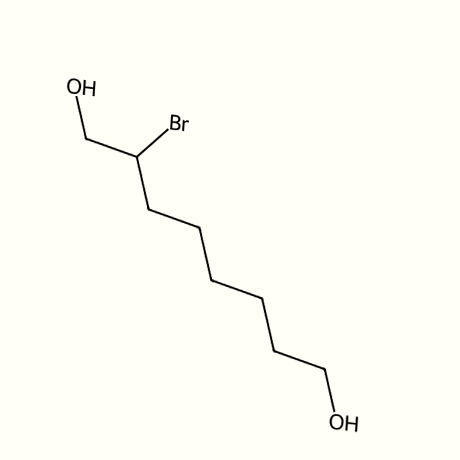 OCCCCCCC(Br)CO